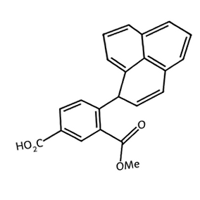 COC(=O)c1cc(C(=O)O)ccc1C1C=Cc2cccc3cccc1c23